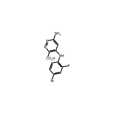 Nc1cc(Nc2ccc(Br)cc2F)c(C(=O)O)nn1